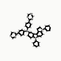 c1ccc(-n2ccc3c4c5cc(N(c6ccc(-c7ncncn7)cc6)c6ccc(-c7ncncn7)cc6)ccc5n(-c5ccccc5)c4ccc32)cc1